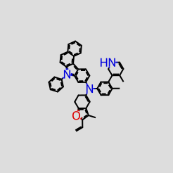 C=Cc1oc2c(c1C)C=C(N(c1ccc(C)c(C3=C(C)C=CNC3)c1)c1ccc3c4c5ccccc5ccc4n(-c4ccccc4)c3c1)CC2